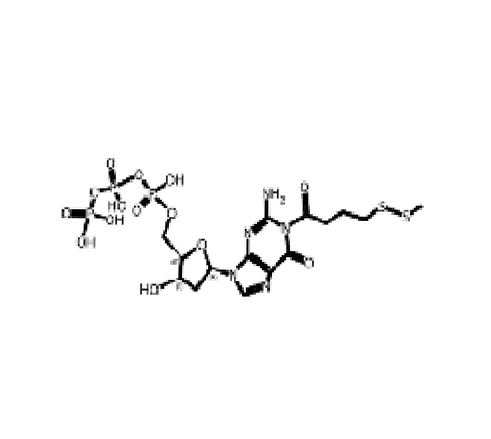 CSSCCCC(=O)n1c(N)nc2c(ncn2[C@H]2C[C@@H](O)[C@@H](COP(=O)(O)OP(=O)(O)OP(=O)(O)O)O2)c1=O